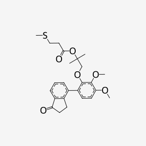 COc1ccc(-c2cccc3c2CCC3=O)c(OCC(C)(C)OC(=O)CCSC)c1OC